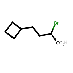 O=C(O)[C@H](Br)CCC1CCC1